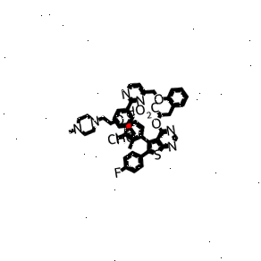 Cc1c(-c2c(-c3ccc(F)cc3)sc3ncnc(OC(Cc4ccccc4OCc4ccnc(-c5cccc(CO)c5)n4)C(=O)O)c23)ccc(OCCN2CCN(C)CC2)c1Cl